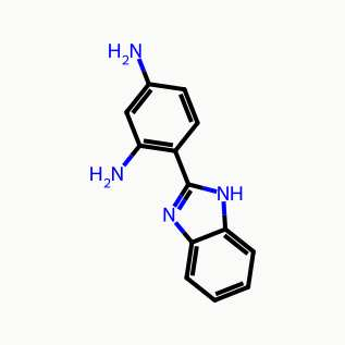 Nc1ccc(-c2nc3ccccc3[nH]2)c(N)c1